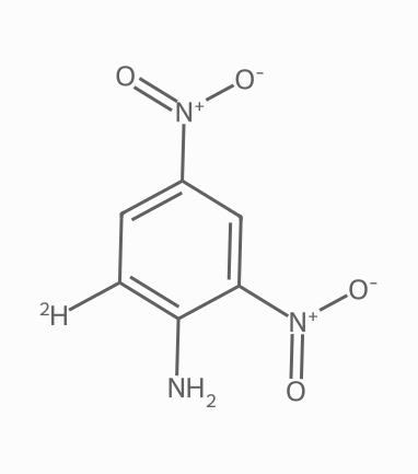 [2H]c1cc([N+](=O)[O-])cc([N+](=O)[O-])c1N